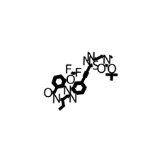 CCC1c2nc3ccc(C#Cc4nnc(CN(C)C(=O)OC(C)(C)C)s4)cc3n2-c2c(OC(F)F)cccc2C(=O)N1C